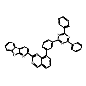 c1ccc(-c2nc(-c3ccccc3)nc(-c3cccc(-c4cccc5cnc(-c6ccc7c(n6)oc6ccccc67)nc45)c3)n2)cc1